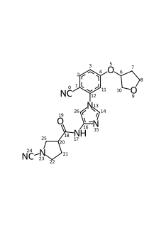 N#Cc1ccc(OC2CCOC2)cc1-n1cnc(NC(=O)C2CCN(C#N)C2)c1